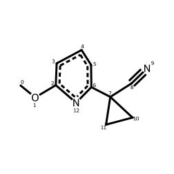 COc1cccc(C2(C#N)CC2)n1